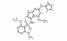 COc1cccc(OC)c1S(=O)(=O)Nc1noc2cc(Oc3nccs3)cc(OC)c12